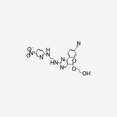 N#Cc1ccc(-c2nc(NCCNc3ccc([N+](=O)[O-])cn3)ncc2C(=O)OCCO)cc1